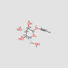 CC#COC1O[C@H](CO)[C@@H](O)[C@H](O)[C@H]1O